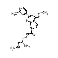 CCOc1cc(-c2ccnc(C)c2)nc2cc(C(=O)NCC/C(N)=C/NN)ccc12